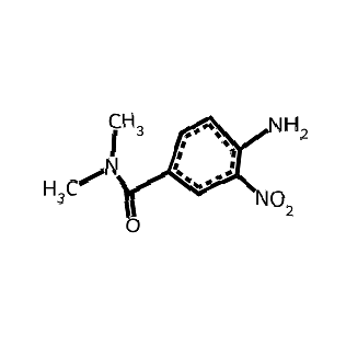 CN(C)C(=O)c1ccc(N)c([N+](=O)[O-])c1